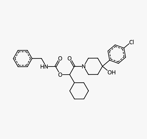 O=C(NCc1ccccc1)OC(C(=O)N1CCC(O)(c2ccc(Cl)cc2)CC1)C1CCCCC1